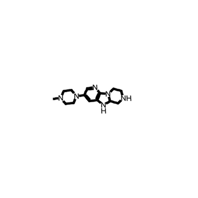 CN1CCN(c2cnc3c(c2)NC2CNCCN32)CC1